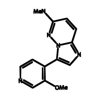 CNc1ccc2ncc(-c3ccncc3OC)n2n1